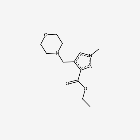 CCOC(=O)c1nn(C)cc1CN1CCOCC1